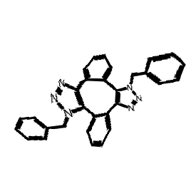 c1ccc(Cn2nnc3c2-c2ccccc2-c2nnn(Cc4ccccc4)c2-c2ccccc2-3)cc1